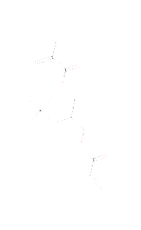 C=CC(=O)OCC(COC(=O)C(=C)C)OC(C)(C)C